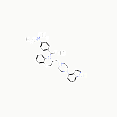 CN(C)c1ccc(C(C=O)N2c3ccccc3CCC2CN2CCN(c3cccc4[nH]ccc34)CC2)cc1